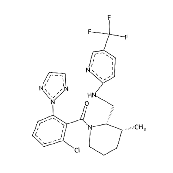 C[C@@H]1CCCN(C(=O)c2c(Cl)cccc2-n2nccn2)[C@@H]1CNc1ccc(C(F)(F)F)cn1